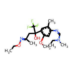 CCO/N=C(\C)CC(O)(c1cc(C)c(/N=C\N(C)CC)cc1OC)C(F)(F)F